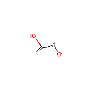 O=[C](O)[Al][OH]